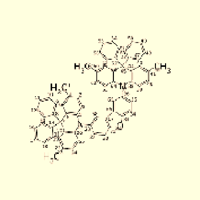 Cc1ccc2c(c1)C(c1ccccc1)(c1ccccc1)c1cc(C)ccc1N2c1ccc2oc3ccc(N4c5ccc(C)cc5C(c5ccccc5)(c5ccccc5)c5cc(C)ccc54)cc3c2c1